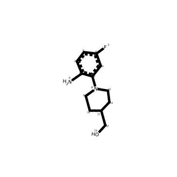 Nc1ccc(F)cc1N1CCC(CO)CC1